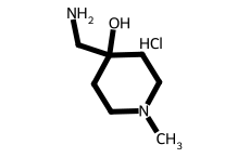 CN1CCC(O)(CN)CC1.Cl